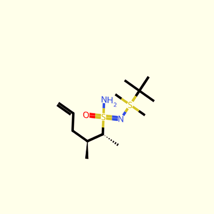 C=CC[C@H](C)[C@@H](C)S(N)(=O)=NS(C)(C)C(C)(C)C